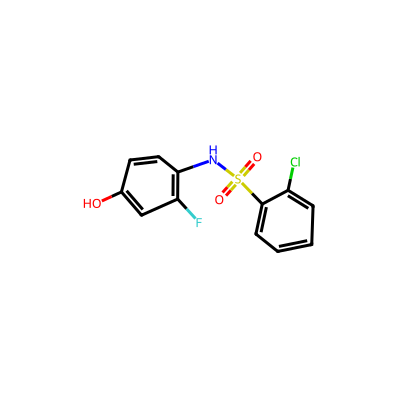 O=S(=O)(Nc1ccc(O)cc1F)c1ccccc1Cl